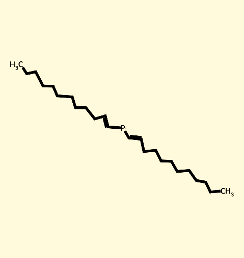 CCCCCCCCCC/C=C/[P]/C=C/CCCCCCCCCC